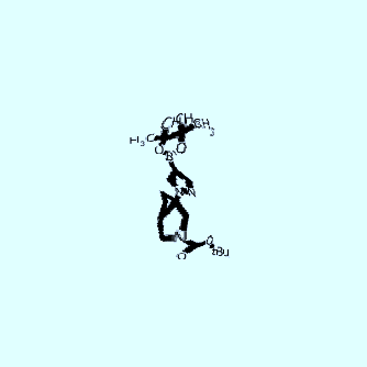 CC(C)(C)OC(=O)N1CC2CC2(n2cc(B3OC(C)(C)C(C)(C)O3)cn2)C1